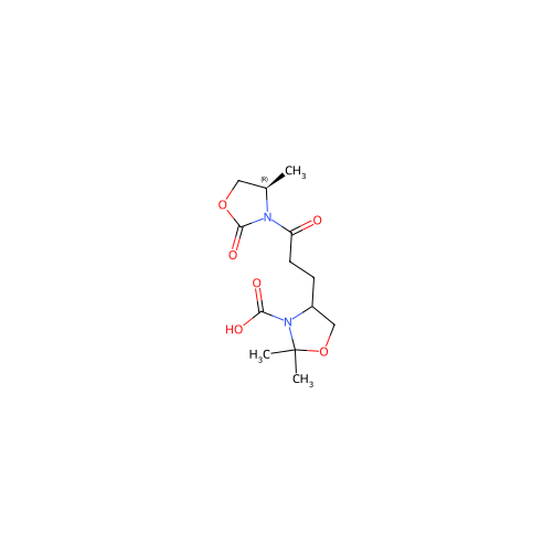 C[C@@H]1COC(=O)N1C(=O)CCC1COC(C)(C)N1C(=O)O